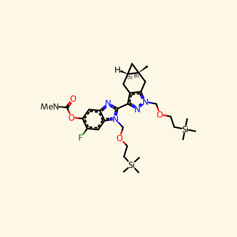 CNC(=O)Oc1cc2nc(-c3nn(COCC[Si](C)(C)C)c4c3C[C@@H]3C[C@]3(C)C4)n(COCC[Si](C)(C)C)c2cc1F